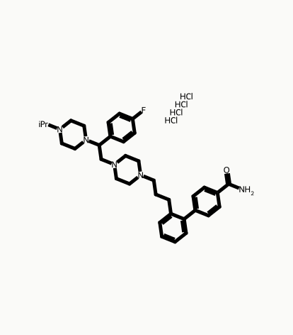 CC(C)N1CCN(C(CN2CCN(CCCc3ccccc3-c3ccc(C(N)=O)cc3)CC2)c2ccc(F)cc2)CC1.Cl.Cl.Cl.Cl